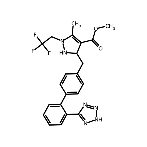 COC(=O)C1=C(C)N(CC(F)(F)F)NC1Cc1ccc(-c2ccccc2-c2nn[nH]n2)cc1